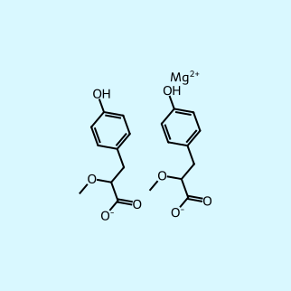 COC(Cc1ccc(O)cc1)C(=O)[O-].COC(Cc1ccc(O)cc1)C(=O)[O-].[Mg+2]